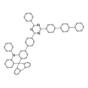 c1ccc(-c2ccc(-c3ccc(-c4nc(-c5ccccc5)nc(-c5ccc(-c6ccc7c(c6)N(c6ccccc6)c6ccccc6C76c7ccccc7-c7ccccc76)cc5)n4)cc3)cc2)cc1